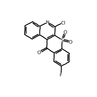 O=C1c2cc(F)ccc2S(=O)(=O)c2c(Cl)nc3ccccc3c21